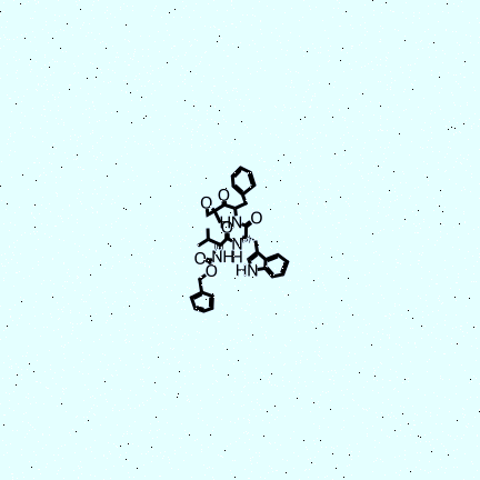 CC(C)[C@@H](NC(=O)OCc1ccccc1)C(=O)N[C@@H](Cc1c[nH]c2ccccc12)C(=O)NC(Cc1ccccc1)C(=O)C1(C)CO1